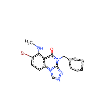 CNc1c(Br)ccc2c1c(=O)n(Cc1ccccc1)c1nncn21